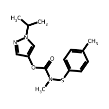 Cc1ccc(SN(C)C(=O)Oc2cnn(C(C)C)c2)cc1